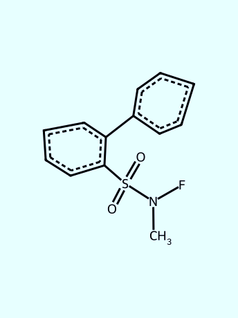 CN(F)S(=O)(=O)c1ccccc1-c1ccccc1